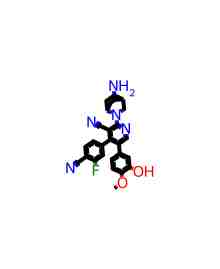 COc1ccc(-c2cnc(N3CC4CCC3CC4N)c(C#N)c2-c2ccc(C#N)c(F)c2)cc1O